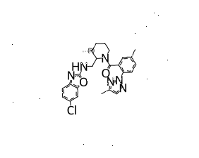 Cc1ccc(-n2ncc(C)n2)c(C(=O)N2CCC[C@@H](C)C2CNc2nc3ccc(Cl)cc3o2)c1